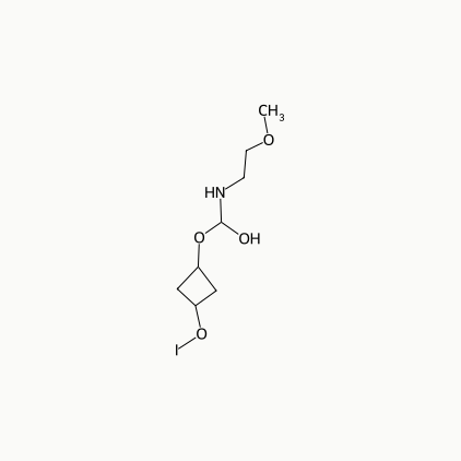 COCCNC(O)OC1CC(OI)C1